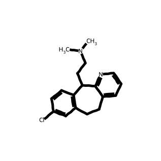 CN(C)CCC1c2ccc(Cl)cc2CCc2cccnc21